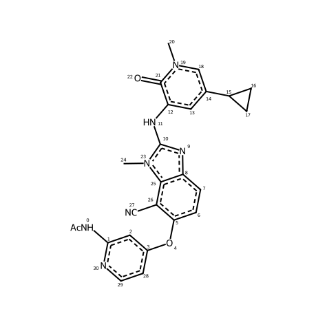 CC(=O)Nc1cc(Oc2ccc3nc(Nc4cc(C5CC5)cn(C)c4=O)n(C)c3c2C#N)ccn1